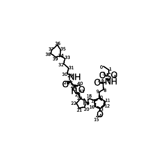 CCS(=O)(=O)NC(=O)CCc1ccc(OC)cc1CN1CCCC1c1nc(C(=O)NCCCCC2CCCCC2)co1